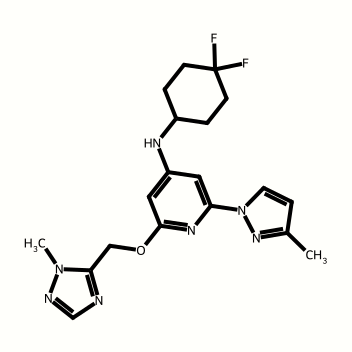 Cc1ccn(-c2cc(NC3CCC(F)(F)CC3)cc(OCc3ncnn3C)n2)n1